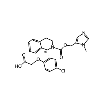 Cn1cncc1COC(=O)N1CCc2ccccc2[C@H]1c1cc(Cl)ccc1OCC(=O)O